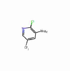 CC(=O)Nc1cc(C(F)(F)F)cnc1Cl